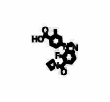 Cc1cc(-n2cnc3ccc(C(=O)N4CCC4)c(F)c32)ccc1C(=O)O